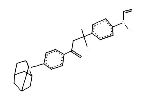 C=CN(c1ccc(C(C)(CC)CC(=C)c2ccc(N3C4CC5CC(C4)CC3C5)cc2)cc1)C(C)CC